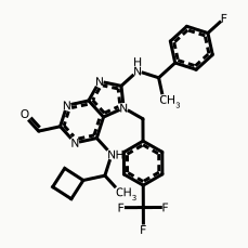 CC(Nc1nc2nc(C=O)nc(NC(C)C3CCC3)c2n1Cc1ccc(C(F)(F)F)cc1)c1ccc(F)cc1